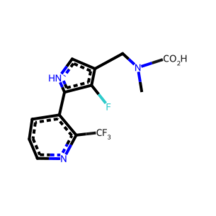 CN(Cc1c[nH]c(-c2cccnc2C(F)(F)F)c1F)C(=O)O